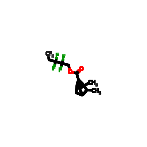 CC1C2CC3C1C3(C(=O)OCC(F)(F)C(F)(F)CC(F)(F)F)C2C